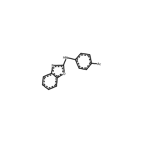 CC(=O)c1ccc(Nc2nc3ccccc3o2)cc1